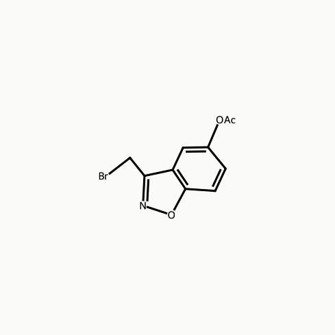 CC(=O)Oc1ccc2onc(CBr)c2c1